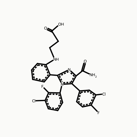 NC(=O)c1nc(-c2ccccc2NCCC(=O)O)n(-c2cccc(Cl)c2F)c1-c1ccc(F)c(Cl)c1